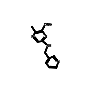 COc1nc(NCc2cccnc2)cnc1C